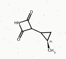 C[C@@H]1CC1C1C(=O)NC1=O